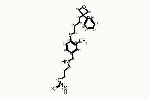 O=[PH](O)OCCCNCc1ccc(SCCCCC2(c3ccccc3)COC2)c(C(F)(F)F)c1